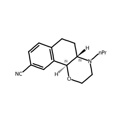 CCCN1CCO[C@H]2c3cc(C#N)ccc3CC[C@@H]21